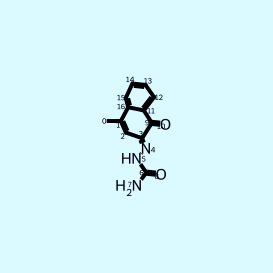 CC1=C/C(=N\NC(N)=O)C(=O)c2ccccc21